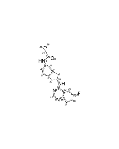 O=C(Nc1ccc2c(c1)CC(Nc1ncnc3ccc(F)cc13)C2)C1CC1